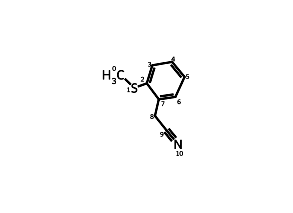 CSc1ccccc1CC#N